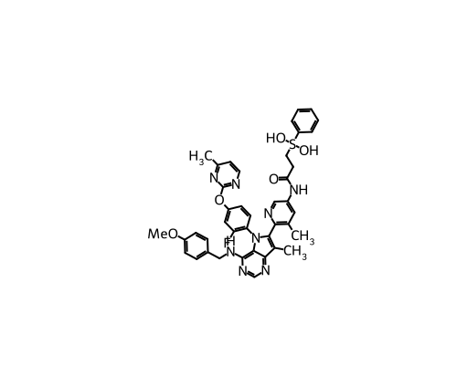 COc1ccc(CNc2ncnc3c(C)c(-c4ncc(NC(=O)CCS(O)(O)c5ccccc5)cc4C)n(-c4ccc(Oc5nccc(C)n5)cc4F)c23)cc1